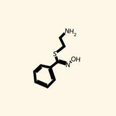 NCCSC(=NO)c1ccccc1